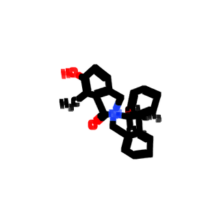 Cc1c(O)ccc2c1C(=O)[N+](Cc1ccccc1-c1ccccc1)(C(C)(C)C)C2